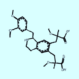 COc1ccc(CC2NCCc3cc(CC(C)(OC)C(=O)O)c(CC(C)(OC)C(=O)O)cc32)cc1OC